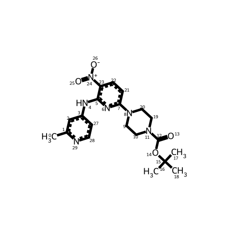 Cc1cc(Nc2nc(N3CCN(C(=O)OC(C)(C)C)CC3)ccc2[N+](=O)[O-])ccn1